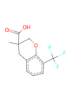 CC1(C(=O)O)COc2c(cccc2C(F)(F)F)C1